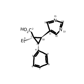 CC[C@@]1(C(=O)O)[C@@H](c2ccccc2)[C@@H]1c1cncnc1